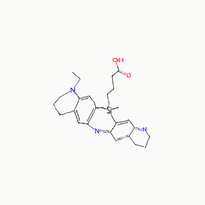 CCN1CCCc2cc3c(cc21)[Si](C)(CCCC(=O)O)c1cc2c(cc1=N3)CCCN=2